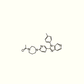 CC(=O)N1CCCN(c2ccc(-c3nc4ccncc4n3-c3ccc(C)cc3)cn2)CC1